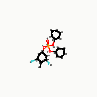 Cc1c(F)cc(OP(=O)(Oc2ccccc2)Oc2ccccc2)cc1F